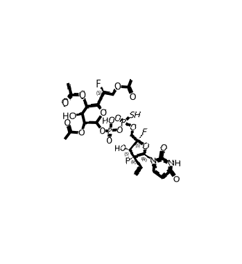 C=C[C@]1(F)[C@H](n2ccc(=O)[nH]c2=O)O[C@](F)(COP(=O)(S)OP(=O)(O)OC2OC([C@@H](F)COC(C)=O)C(OC(C)=O)C(O)C2OC(C)=O)[C@H]1O